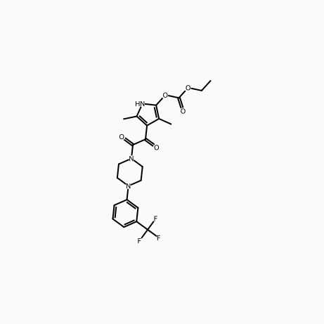 CCOC(=O)Oc1[nH]c(C)c(C(=O)C(=O)N2CCN(c3cccc(C(F)(F)F)c3)CC2)c1C